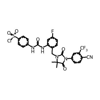 CC1(C)C(=O)N(c2ccc(C#N)c(C(F)(F)F)c2)C(=O)N1Cc1ccc(F)cc1NC(=O)Nc1ccc(S(=O)(=O)Cl)cc1